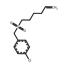 C=CCCCCS(=O)(=O)Cc1ccc(Cl)cc1